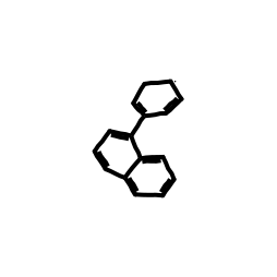 [CH]1C=CC(c2cccc3ccccc23)=CC1